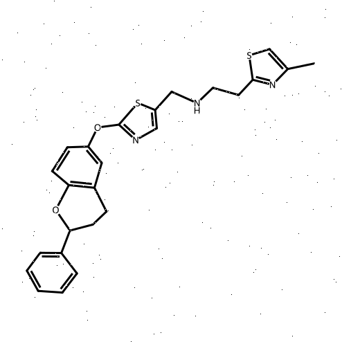 Cc1csc(CCNCc2cnc(Oc3ccc4c(c3)CCC(c3ccccc3)O4)s2)n1